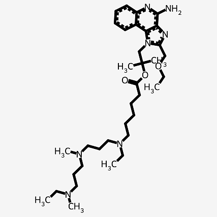 CCOCc1nc2c(N)nc3ccccc3c2n1CC(C)(C)OC(=O)CCCCCN(CC)CCCN(C)CCCN(C)CC